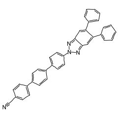 N#Cc1ccc(-c2ccc(-c3ccc(-n4nc5cc(-c6ccccc6)c(-c6ccccc6)cc5n4)cc3)cc2)cc1